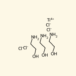 NCCO.NCCO.NCCO.[Cl-].[Cl-].[Cl-].[Cl-].[Ti+4]